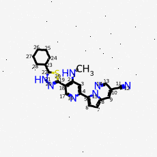 CNc1cc(-c2ccc3cc(C#N)cnn23)ncc1C1=NNC(C2CCCCC2)S1